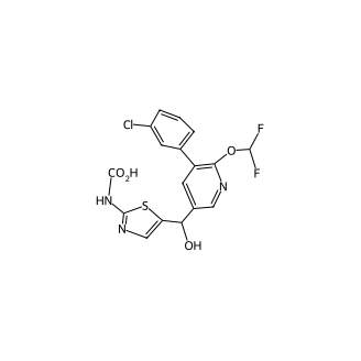 O=C(O)Nc1ncc(C(O)c2cnc(OC(F)F)c(-c3cccc(Cl)c3)c2)s1